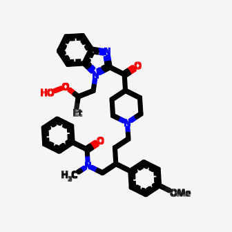 CCC(Cn1c(C(=O)C2CCN(CCC(CN(C)C(=O)c3ccccc3)c3ccc(OC)cc3)CC2)nc2ccccc21)OO